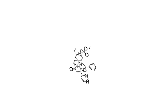 CCOC(=O)ON1CCC2(CCn3c(nc(-c4ccncn4)cc3=O)N2CC(=O)c2ccccc2)CC1CC